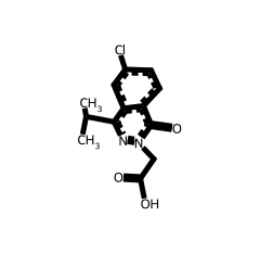 CC(C)c1nn(CC(=O)O)c(=O)c2ccc(Cl)cc12